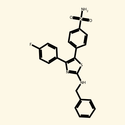 NS(=O)(=O)c1ccc(-c2sc(NCc3ccccc3)nc2-c2ccc(F)cc2)cc1